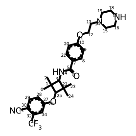 CC1(C)C(NC(=O)c2ccc(OCCN3CCNCC3)cc2)C(C)(C)C1Oc1ccc(C#N)c(C(F)(F)F)c1